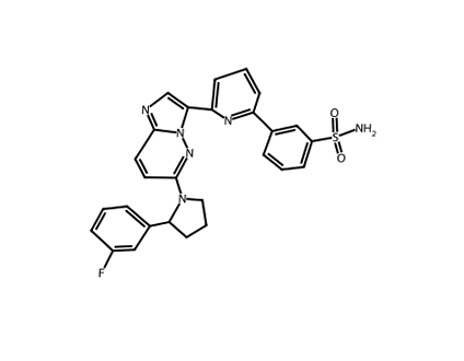 NS(=O)(=O)c1cccc(-c2cccc(-c3cnc4ccc(N5CCCC5c5cccc(F)c5)nn34)n2)c1